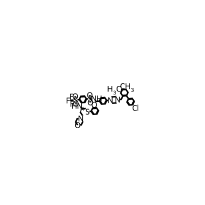 CC1(C)CCC(c2ccc(Cl)cc2)=C(CN2CCN(c3ccc(C(=O)NS(=O)(=O)c4ccc(S(=O)(=O)C(F)(F)F)c(N[C@H](CCN5CCOCC5)CSc5ccccc5)c4)cc3)CC2)C1